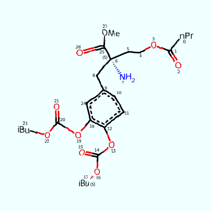 CCCC(=O)OCC[C@@](N)(Cc1ccc(OC(=O)O[C@@H](C)CC)c(OC(=O)OC(C)CC)c1)C(=O)OC